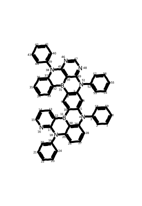 c1ccc(N2c3cc4c(cc3B3c5cccnc5N(c5ccccc5)c5cccc2c53)B2c3ccccc3N(c3ccccc3)c3ncnc(c32)N4c2ccccc2)cc1